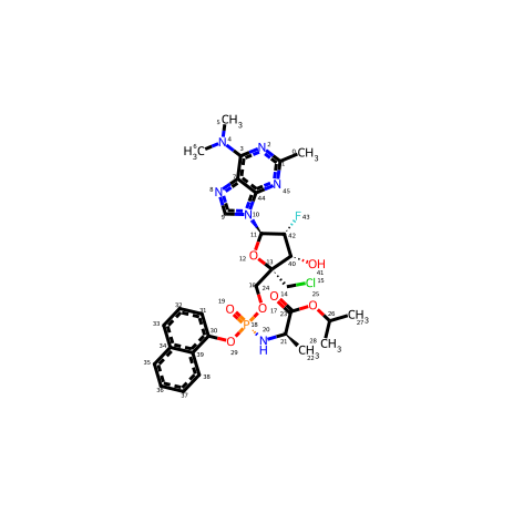 Cc1nc(N(C)C)c2ncn([C@@H]3O[C@](CCl)(CO[P@@](=O)(N[C@H](C)C(=O)OC(C)C)Oc4cccc5ccccc45)[C@@H](O)[C@H]3F)c2n1